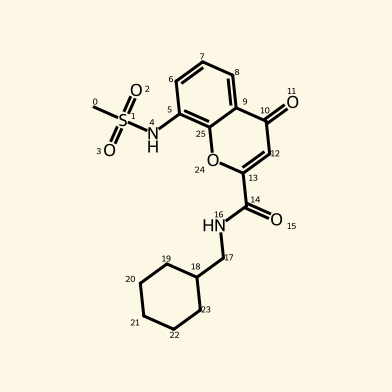 CS(=O)(=O)Nc1cccc2c(=O)cc(C(=O)NCC3CCCCC3)oc12